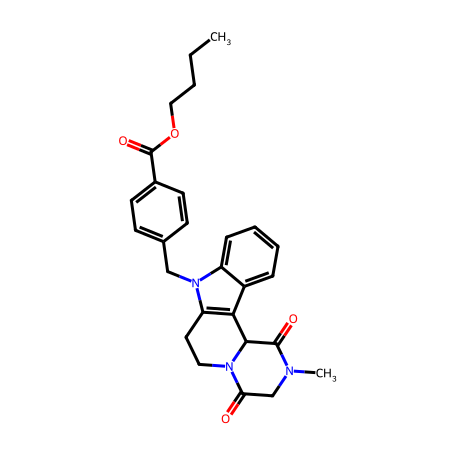 CCCCOC(=O)c1ccc(Cn2c3c(c4ccccc42)C2C(=O)N(C)CC(=O)N2CC3)cc1